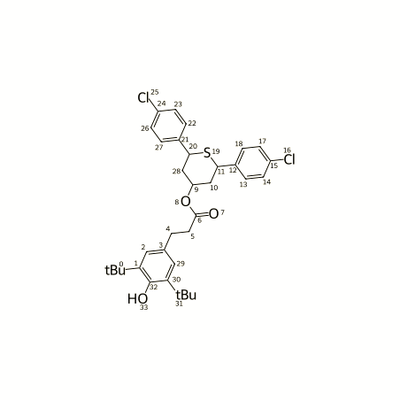 CC(C)(C)c1cc(CCC(=O)OC2CC(c3ccc(Cl)cc3)SC(c3ccc(Cl)cc3)C2)cc(C(C)(C)C)c1O